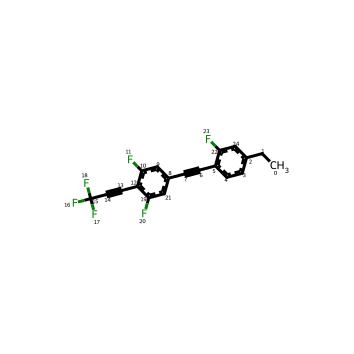 CCc1ccc(C#Cc2cc(F)c(C#CC(F)(F)F)c(F)c2)c(F)c1